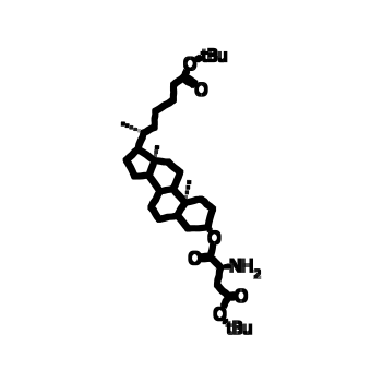 C[C@H](CCCCC(=O)OC(C)(C)C)C1CCC2C3CCC4C[C@H](OC(=O)[C@@H](N)CC(=O)OC(C)(C)C)CC[C@]4(C)C3CC[C@@]21C